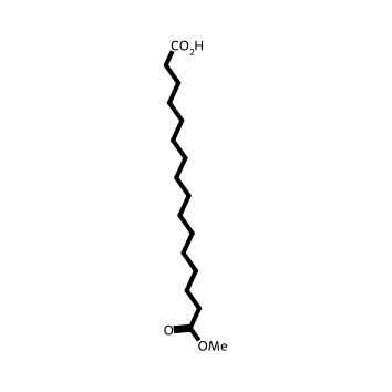 COC(=O)CCCCCCCCCCCCCCC(=O)O